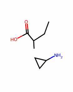 CCC(C)C(=O)O.NC1CC1